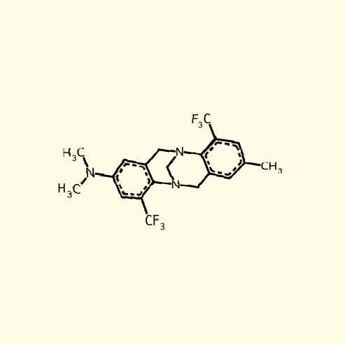 Cc1cc2c(c(C(F)(F)F)c1)N1Cc3cc(N(C)C)cc(C(F)(F)F)c3N(C2)C1